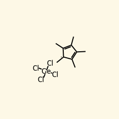 C[C]1C(C)=C(C)C(C)=C1C.[Cl][Ge]([Cl])([Cl])[Cl]